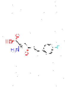 N[C@H](CC(=O)C=Cc1ccc(F)cc1)C(=O)O